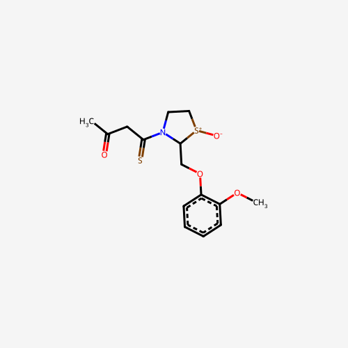 COc1ccccc1OCC1N(C(=S)CC(C)=O)CC[S+]1[O-]